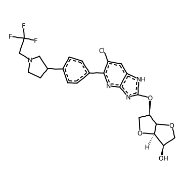 O[C@@H]1COC2[C@H](Oc3nc4nc(-c5ccc(C6CCN(CC(F)(F)F)C6)cc5)c(Cl)cc4[nH]3)CO[C@@H]21